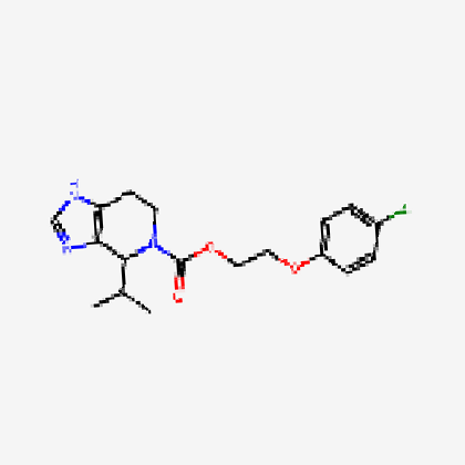 CC(C)C1c2nc[nH]c2CCN1C(=O)OCCOc1ccc(Cl)cc1